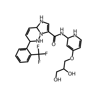 O=C(NC1C=C(OCC(O)CO)C=CN1)C1=CNC2C=CC(c3ccccc3C(F)(F)F)NN12